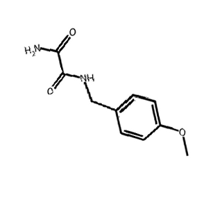 COc1ccc(CNC(=O)C(N)=O)cc1